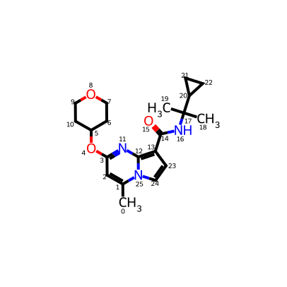 Cc1cc(OC2CCOCC2)nc2c(C(=O)NC(C)(C)C3CC3)ccn12